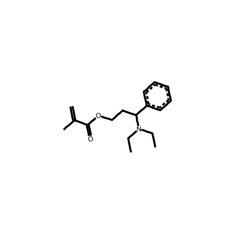 C=C(C)C(=O)OCCC(c1ccccc1)N(CC)CC